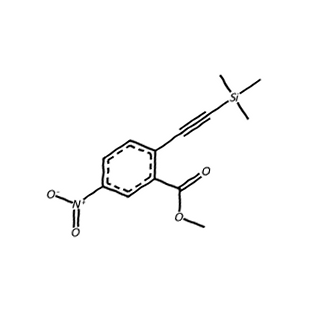 COC(=O)c1cc([N+](=O)[O-])ccc1C#C[Si](C)(C)C